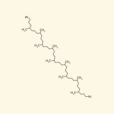 CC(=O)CCCC(C)CCCC(C)CCCC(C)CCCC(C)CCCC(C)CCCC(C)CCCC(C)CCCC(C)CCCC(C)CCCC(C)C